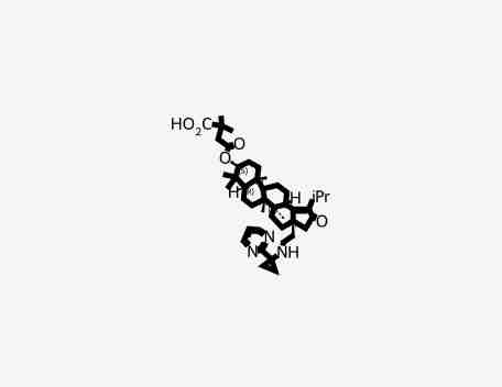 CC(C)C1=C2[C@H]3CCC4[C@@]5(C)CC[C@H](OC(=O)CC(C)(C)C(=O)O)C(C)(C)[C@@H]5CC[C@@]4(C)[C@]3(C)CC[C@@]2(CCNC2(c3ncccn3)CC2)CC1=O